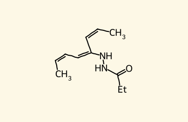 C\C=C/C=C(\C=C/C)NNC(=O)CC